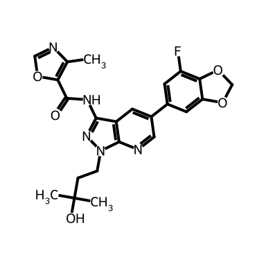 Cc1ncoc1C(=O)Nc1nn(CCC(C)(C)O)c2ncc(-c3cc(F)c4c(c3)OCO4)cc12